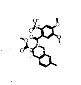 COC(=O)[C@@H]1Cc2ccc(C)cc2CN1C(=O)c1cc(OC)c(OC)cc1[N+](=O)[O-]